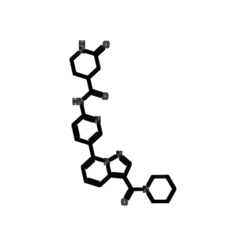 O=C1CC(C(=O)Nc2ccc(-c3cccc4c(C(=O)N5CCCCC5)cnn34)cn2)CCN1